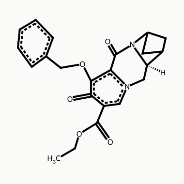 CCOC(=O)c1cn2c(c(OCc3ccccc3)c1=O)C(=O)N1C3CC(C3)[C@H]1C2